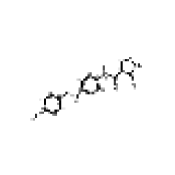 O=C1NCCC1C(=O)Nc1ccc(OCc2ccc(F)cc2)cc1